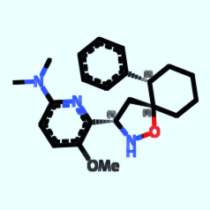 COc1ccc(N(C)C)nc1[C@@H]1C[C@@]2(CCCC[C@H]2c2ccccc2)ON1